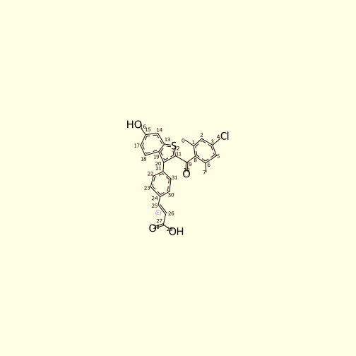 Cc1cc(Cl)cc(C)c1C(=O)c1sc2cc(O)ccc2c1-c1ccc(/C=C/C(=O)O)cc1